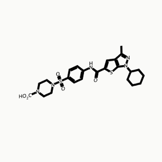 Cc1nn(C2CCCCC2)c2sc(C(=O)Nc3ccc(S(=O)(=O)N4CCN(C(=O)O)CC4)cc3)cc12